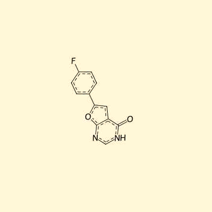 O=c1[nH]cnc2oc(-c3ccc(F)cc3)cc12